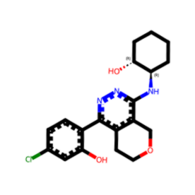 Oc1cc(Cl)ccc1-c1nnc(N[C@@H]2CCCC[C@H]2O)c2c1CCOC2